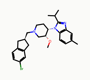 CO[C@@H]1CN(C[C@@H]2Cc3ccc(Br)cc3C2)CC[C@@H]1n1c(C(C)C)nc2cc(C)ccc21